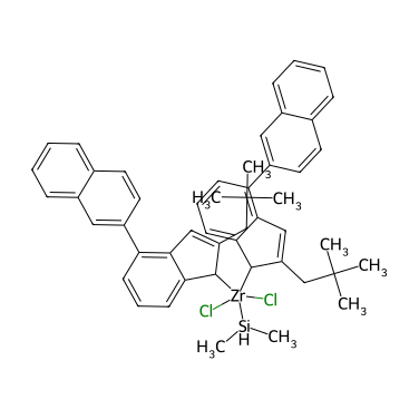 C[SiH](C)[Zr]([Cl])([Cl])([CH]1C(CC(C)(C)C)=Cc2c(-c3ccc4ccccc4c3)cccc21)[CH]1C(CC(C)(C)C)=Cc2c(-c3ccc4ccccc4c3)cccc21